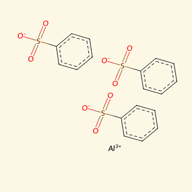 O=S(=O)([O-])c1ccccc1.O=S(=O)([O-])c1ccccc1.O=S(=O)([O-])c1ccccc1.[Al+3]